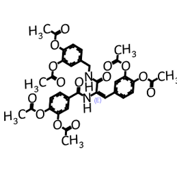 CC(=O)Oc1ccc(/C=C(/NC(=O)c2ccc(OC(C)=O)c(OC(C)=O)c2)C(=O)NCc2ccc(OC(C)=O)c(OC(C)=O)c2)cc1OC(C)=O